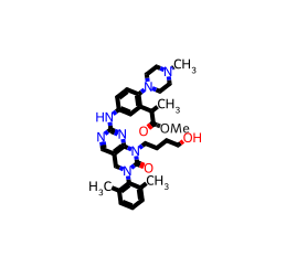 COC(=O)C(C)c1cc(Nc2ncc3c(n2)N(CCCCO)C(=O)N(c2c(C)cccc2C)C3)ccc1N1CCN(C)CC1